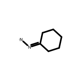 [N]N=C1CCCCC1